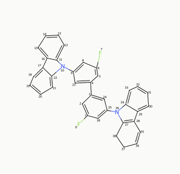 Fc1cc(-c2cc(F)cc(-n3c4ccccc4c4ccccc43)c2)cc(-n2c3c(c4ccccc42)C=CCC3)c1